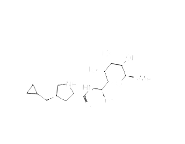 CS[C@H]1O[C@H]([C@H](NC(=O)[C@@H]2C[C@@H](CC3CC3)CN2)C(C)C)[C@H](O)[C@H](O)[C@H]1O